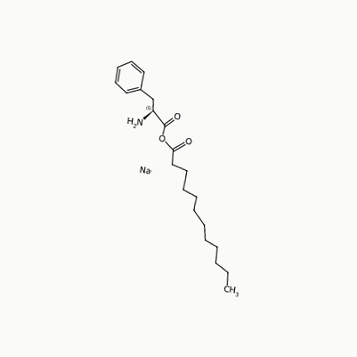 CCCCCCCCCCCC(=O)OC(=O)[C@@H](N)Cc1ccccc1.[Na]